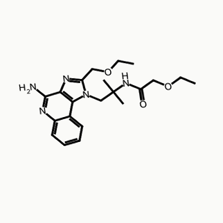 CCOCC(=O)NC(C)(C)Cn1c(COCC)nc2c(N)nc3ccccc3c21